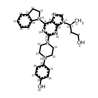 C[C@@H](CCO)n1cnc2c(N3CCc4ccccc43)nc(N3CCN(c4ccc(O)cc4)CC3)nc21